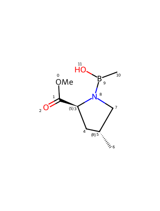 COC(=O)[C@@H]1C[C@@H](C)CN1B(C)O